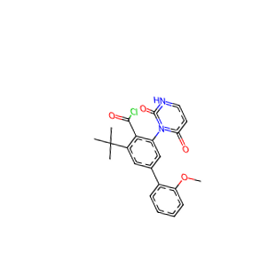 COc1ccccc1-c1cc(-n2c(=O)cc[nH]c2=O)c(C(=O)Cl)c(C(C)(C)C)c1